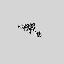 COC(=O)N[C@H](C(=O)N1CCCC1c1ncc(-c2ccc(C#CC#Cc3cnc(C4CCCN4)[nH]3)c(-c3ccccc3C)c2)[nH]1)C(C)C.Cl.Cl.Cl